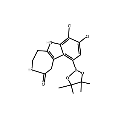 CC1(C)OB(c2cc(Cl)c(Cl)c3[nH]c4c(c23)CC(=O)NCC4)OC1(C)C